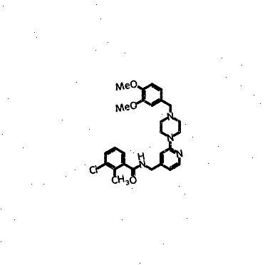 COc1ccc(CN2CCN(c3cc(CNC(=O)c4cccc(Cl)c4C)ccn3)CC2)cc1OC